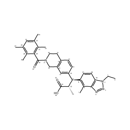 CCn1nnc2c(C)c([C@H](c3ccc4c(c3)CN(C(=O)c3c(C)c(C)cc(C)c3C)CC4)[C@H](C)C(=O)O)ccc21